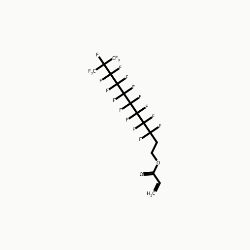 C=CC(=O)OCCC(F)(F)C(F)(F)C(F)(F)C(F)(F)C(F)(F)C(F)(F)C(F)(F)C(F)(C(F)(F)F)C(F)(F)F